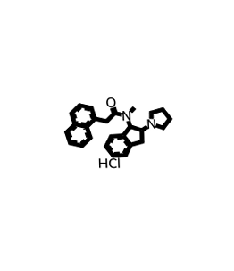 CN(C(=O)Cc1cccc2ccccc12)C1c2ccccc2CC1N1CCCC1.Cl